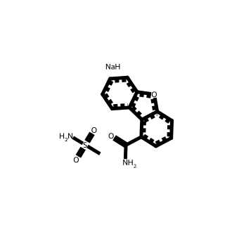 CS(N)(=O)=O.NC(=O)c1cccc2oc3ccccc3c12.[NaH]